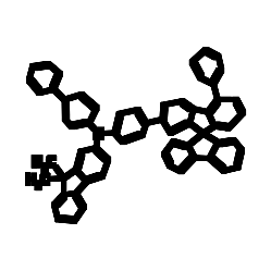 CC1(C)c2ccccc2-c2ccc(N(c3ccc(-c4ccccc4)cc3)c3ccc(-c4ccc5c(c4)C4(c6ccccc6-c6ccccc64)c4cccc(-c6ccccc6)c4-5)cc3)cc21